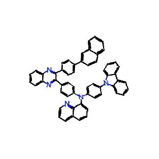 c1ccc2cc(-c3ccc(-c4nc5ccccc5nc4-c4ccc(N(c5ccc(-n6c7ccccc7c7ccccc76)cc5)c5cccc6cccnc56)cc4)cc3)ccc2c1